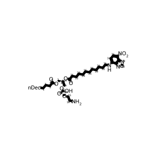 CCCCCCCCCCCCCC(=O)OC[C@H](COP(=O)(O)OCCN)OC(=O)CCCCCCCCCCCNc1ccc([N+](=O)[O-])c2nonc12